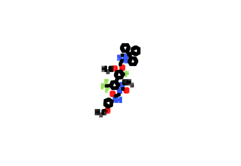 COc1cccc(NC(=O)Cn2c(=O)n(C)c3c(-c4cc(F)c(OCc5ncn(C(c6ccccc6)(c6ccccc6)c6ccccc6)n5)c(OC)c4)cc(C(F)(F)F)cc32)c1